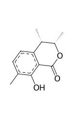 Cc1ccc2c(c1O)C(=O)O[C@@H](C)[C@H]2C